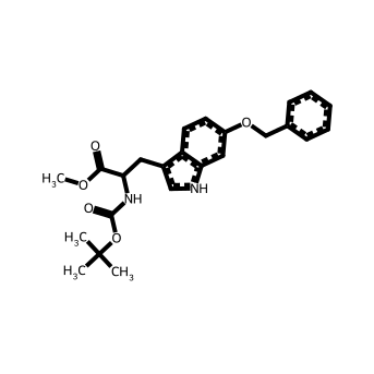 COC(=O)C(Cc1c[nH]c2cc(OCc3ccccc3)ccc12)NC(=O)OC(C)(C)C